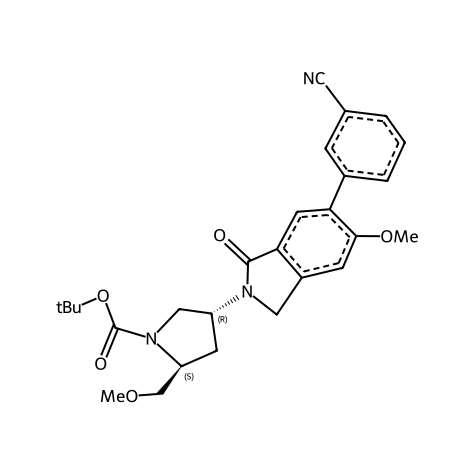 COC[C@@H]1C[C@@H](N2Cc3cc(OC)c(-c4cccc(C#N)c4)cc3C2=O)CN1C(=O)OC(C)(C)C